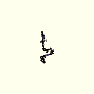 C#CCC(CCC(C)/C=C(\C)C(C)CC(=O)C(C)CC/C=C/C=C/C=C/C(CC1CCCC(C(=C=C)C(=O)N2CCCCC2)O1)OC)CCC1(C)CCC(OCCOCCC(=O)NCC(/C=N\CCC)=C/N=C/NCCCC)CC1